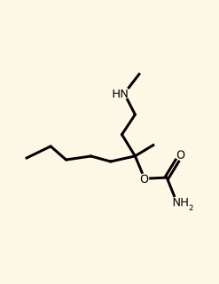 CCCCCC(C)(CCNC)OC(N)=O